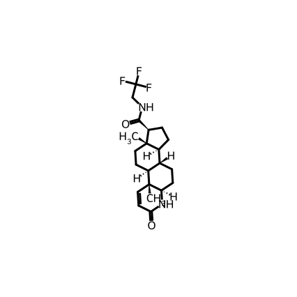 C[C@]12C=CC(=O)N[C@@H]1CC[C@@H]1[C@@H]2CC[C@]2(C)[C@@H](C(=O)NCC(F)(F)F)CC[C@@H]12